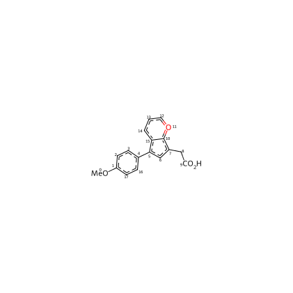 COc1ccc(-c2cc(CC(=O)O)c3occcc2-3)cc1